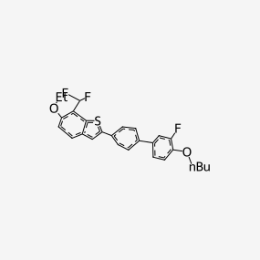 CCCCOc1ccc(-c2ccc(-c3cc4ccc(OCC)c(C(F)F)c4s3)cc2)cc1F